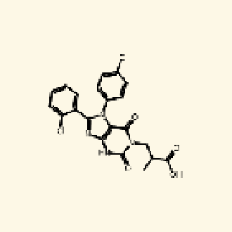 CC(Cn1c(=O)[nH]c2nc(-c3ccccc3Cl)n(-c3ccc(Cl)cc3)c2c1=O)C(=O)O